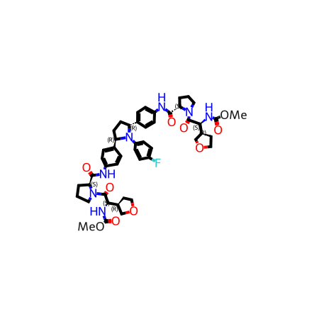 COC(=O)N[C@H](C(=O)N1CCC[C@H]1C(=O)Nc1ccc([C@H]2CC[C@H](c3ccc(NC(=O)[C@@H]4CCCN4C(=O)[C@@H](NC(=O)OC)[C@H]4CCOC4)cc3)N2c2ccc(F)cc2)cc1)[C@H]1CCOC1